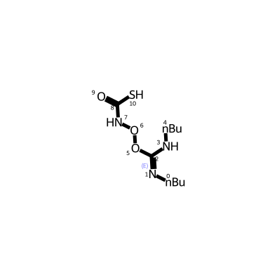 CCCC/N=C(\NCCCC)OONC(=O)S